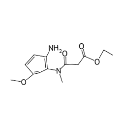 CCOC(=O)CC(=O)N(C)c1cc(OC)ccc1N